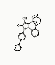 CC(C)CC(=O)C1=C(O)C(=O)N(c2ccc(-c3ccsc3)cc2)C1c1ccccc1N1CCOCC1